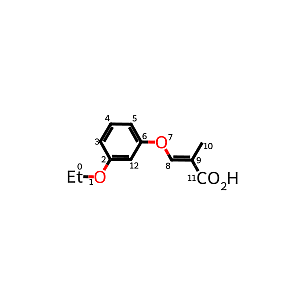 CCOc1cccc(O/C=C(\C)C(=O)O)c1